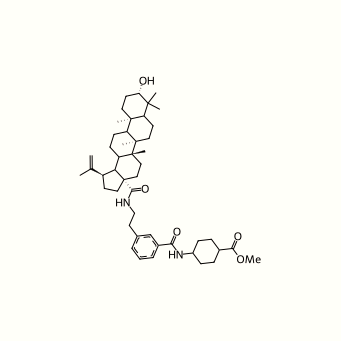 C=C(C)[C@@H]1CC[C@]2(C(=O)NCCc3cccc(C(=O)NC4CCC(C(=O)OC)CC4)c3)CC[C@]3(C)C(CCC4[C@@]5(C)CC[C@H](O)C(C)(C)C5CC[C@]43C)C12